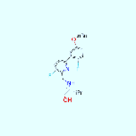 CCCCOc1ccc(F)c(-c2ccc(F)c(CN[C@@H](CO)C(C)C)n2)c1